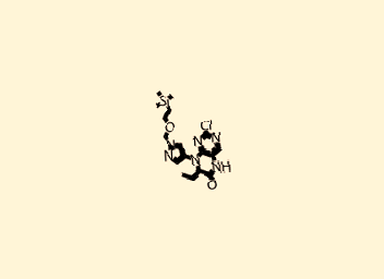 CCC1C(=O)Nc2cnc(Cl)nc2N1c1cnn(COCC[Si](C)(C)C)c1